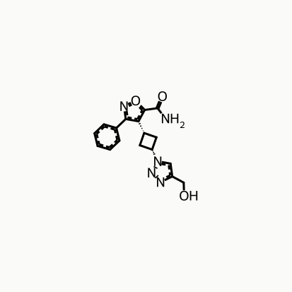 NC(=O)c1onc(-c2ccccc2)c1[C@H]1C[C@@H](n2cc(CO)nn2)C1